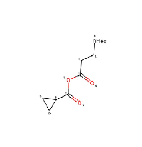 CCCCCCCCC(=O)OC(=O)C1CC1